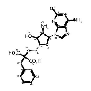 Nc1nc(Cl)nc2c1ncn2[C@@H]1O[C@H](COC(Cc2ccccc2)(C(=O)O)C(=O)O)[C@@H](O)[C@H]1N